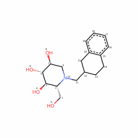 OC[C@@H]1[C@@H](O)[C@H](O)[C@@H](O)CN1CC1CCc2ccccc2C1